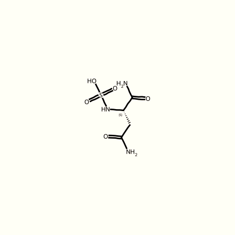 NC(=O)C[C@H](NS(=O)(=O)O)C(N)=O